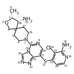 C[C@H]1OCC2(CCN(c3ncc(Sc4ccnc(N)c4Cl)c4nncn34)CC2)[C@H]1N